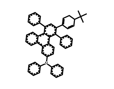 CC(C)(C)C1C=CC(c2cc(-c3ccccc3)c3c4ccccc4c4cc(N(c5ccccc5)c5ccccc5)ccc4c3c2-c2ccccc2)=CC1